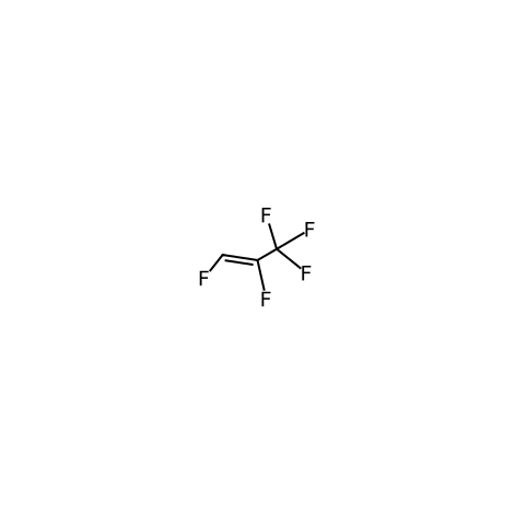 F/C=C(\F)C(F)(F)F